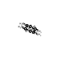 CCCC1CCC(C(=O)C[C@H]2CC[C@H](c3ccc(OCC)cc3)CC2)C(=O)C1.CCOc1ccc([C@H]2CC[C@H](CC(=O)C3CCC(CC)CC3=O)CC2)cc1